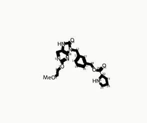 COCCOc1ncc2[nH]c(=O)n(Cc3cccc(COC(=O)[C@@H]4CCCN4)c3)c2n1